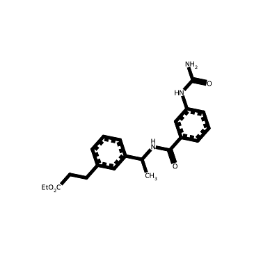 CCOC(=O)CCc1cccc(C(C)NC(=O)c2cccc(NC(N)=O)c2)c1